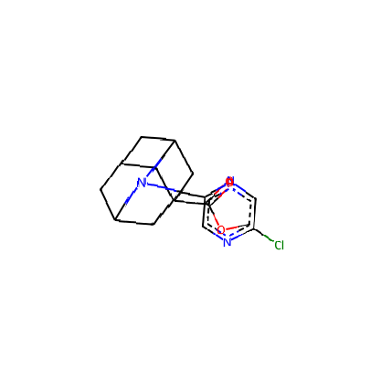 COC(=O)C12CC3CC(C1)N(c1cnc(Cl)cn1)C(C3)C2